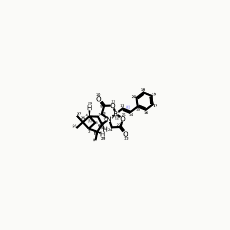 C[C@@H]1C2C[C@@H](C[C@H]1[N+]13CC(=O)O[B-]1(/C=C/c1ccccc1)OC(=O)C3)C2(C)C